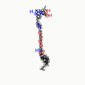 CCCCc1nc2c(N)nc3cc(CCCN4CCN(CCCOCCOCCOCCOCCNC(=O)O[C@H]5CC[C@@]6(C)C(=CC[C@H]7[C@@H]8CC[C@H]([C@H](C)CCCC(C)C)[C@@]8(C)CC[C@@H]76)C5)CC4)ccc3c2n1CC(C)(CO)CO